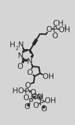 CP(=O)(O)OCCC#Cc1cn(C2CC(O)C(COP(=O)(O)OP(=O)(O)OP(=O)(O)O)O2)c(=O)nc1N